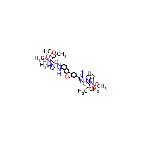 CCC(C)C(NC(=O)OC)C(=O)N1[C@H](c2ncc(-c3ccc4c(c3)COc3cc5c(ccc6nc([C@@H]7CC[C@H](C)N7C(=O)C(NC(=O)OC)C7C[C@@H](C)O[C@H](C)C7)[nH]c65)cc3-4)[nH]2)C[C@@H]2CCC[C@@H]21